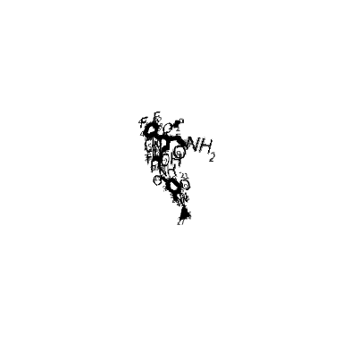 CCOc1c(CC(N)=O)cc([C@@](O)(CNC(=O)c2cc(OC)c3nn(C4CC4)cc3c2)C(F)(F)F)nc1-c1cc(F)c(F)cc1Cl